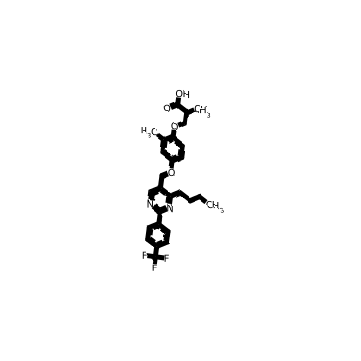 CCCCc1nc(-c2ccc(C(F)(F)F)cc2)ncc1COc1ccc(OCC(C)C(=O)O)c(C)c1